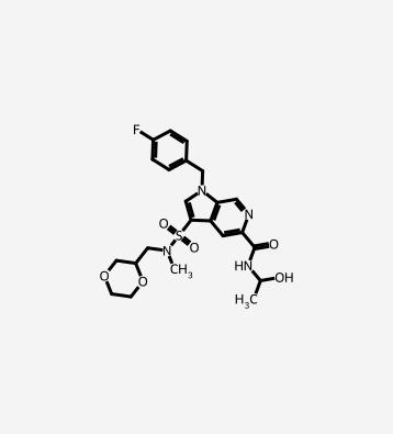 CC(O)NC(=O)c1cc2c(S(=O)(=O)N(C)CC3COCCO3)cn(Cc3ccc(F)cc3)c2cn1